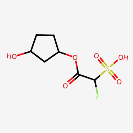 O=C(OC1CCC(O)C1)C(F)S(=O)(=O)O